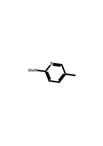 CNc1bcc(C)cc1